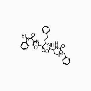 CCN(C(=O)c1coc(C(=O)C(CCc2ccccc2)NC(=O)C(CC(C)C)NC(=O)OCc2ccccc2)n1)c1ccccc1